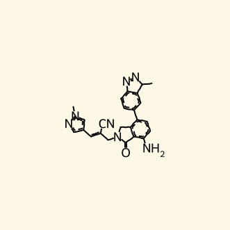 CC1N=Nc2ccc(-c3ccc(N)c4c3CN(C/C(C#N)=C/c3cnn(C)c3)C4=O)cc21